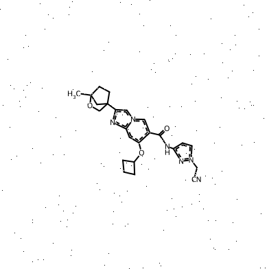 CC12CCC(c3cn4cc(C(=O)Nc5ccn(CC#N)n5)c(OC5CCC5)cc4n3)(CO1)C2